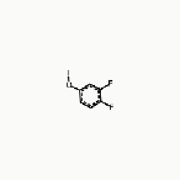 Fc1ccc(OI)cc1F